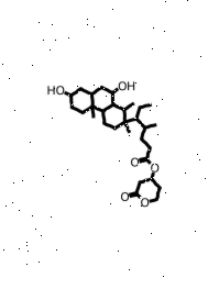 CCC(C(C)CCC(=O)OC1CCOC(=O)C1)C1(C)CCC2C(C(O)CC3CC(O)CCC32C)C1C